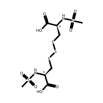 CS(=O)(=O)N[C@@H](CSSSC[C@H](NS(C)(=O)=O)C(=O)O)C(=O)O